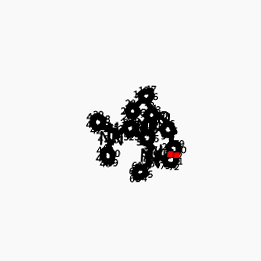 c1ccc(-c2ccc3c(c2)B2c4c(cc(-c5ccccc5-c5ccccc5)cc4-n4c5ccc(-c6nc(-c7ccccc7)nc(-c7ccccc7)n6)cc5c5cc(-c6nc(-c7ccccc7)nc(-c7ccccc7)n6)cc2c54)O3)cc1